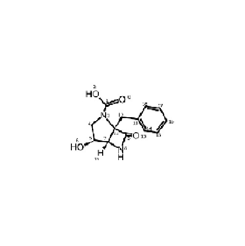 O=C(O)N1C[C@H](O)[C@H]2NC(=O)[C@]21Cc1ccccc1